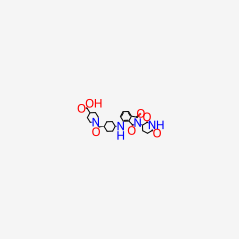 O=C1CCC(N2C(=O)c3cccc(N[C@H]4CC[C@H](C(=O)N5CCC(C(=O)O)CC5)CC4)c3C2=O)C(=O)N1